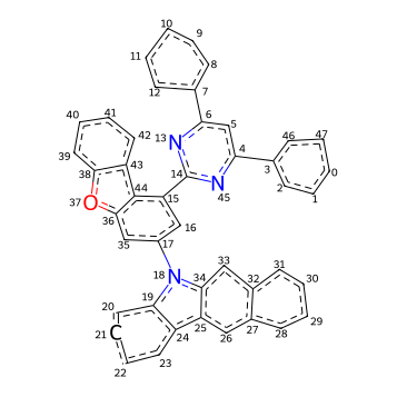 c1ccc(-c2cc(-c3ccccc3)nc(-c3cc(-n4c5ccccc5c5cc6ccccc6cc54)cc4oc5ccccc5c34)n2)cc1